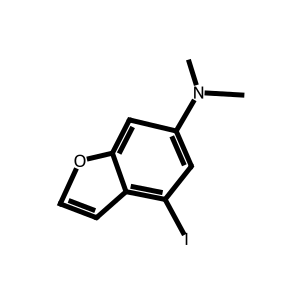 CN(C)c1cc(I)c2ccoc2c1